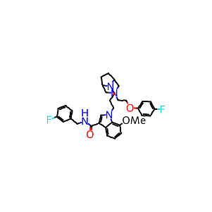 COc1cccc2c(C(=O)NCc3cccc(F)c3)cn(CCCN3C4CCC3CN(CCOc3ccc(F)cc3)C4)c12